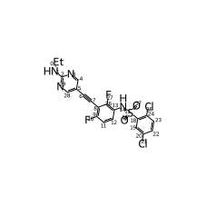 CCNc1ncc(C#Cc2c(F)ccc(NS(=O)(=O)c3cc(Cl)ccc3Cl)c2F)cn1